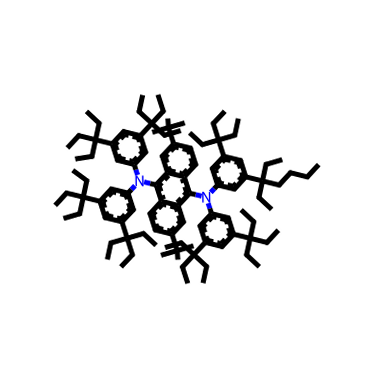 CCCCC(CC)(CC)c1cc(N(c2cc(C(CC)(CC)CC)cc(C(CC)(CC)CC)c2)c2c3ccc(C(C)(C)C)cc3c(N(c3cc(C(CC)(CC)CC)cc(C(CC)(CC)CC)c3)c3cc(C(CC)(CC)CC)cc(C(CC)(CC)CC)c3)c3ccc(C(C)(C)C)cc23)cc(C(CC)(CC)CC)c1